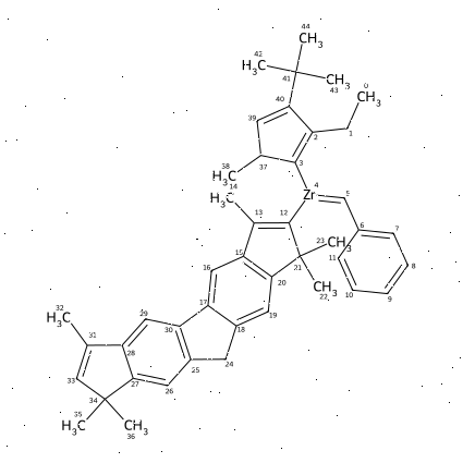 CCC1=[C]([Zr](=[CH]c2ccccc2)[C]2=C(C)c3cc4c(cc3C2(C)C)Cc2cc3c(cc2-4)C(C)=CC3(C)C)C(C)C=C1C(C)(C)C